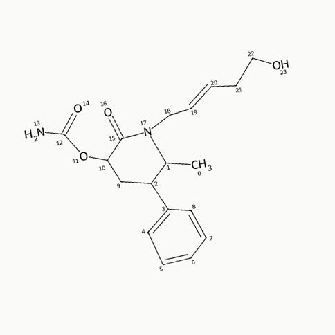 CC1C(c2ccccc2)CC(OC(N)=O)C(=O)N1CC=CCCO